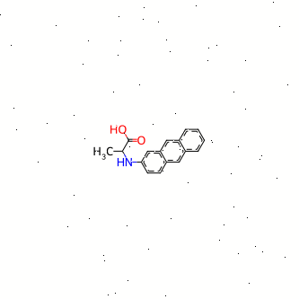 CC(Nc1ccc2cc3ccccc3cc2c1)C(=O)O